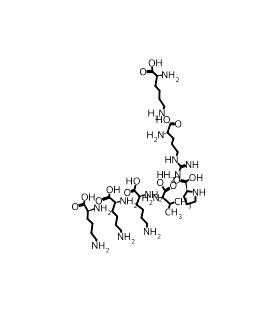 CC(C)[C@H](N)C(=O)O.N=C(N)NCCC[C@H](N)C(=O)O.NCCCC[C@H](N)C(=O)O.NCCCC[C@H](N)C(=O)O.NCCCC[C@H](N)C(=O)O.NCCCC[C@H](N)C(=O)O.O=C(O)[C@@H]1CCCN1